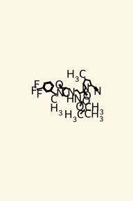 CC1CC(C#N)N(C(=O)C(CN2CC3CC2C(=O)N3C(C)c2cccc(C(F)(F)F)c2)NC(=O)OC(C)(C)C)C1